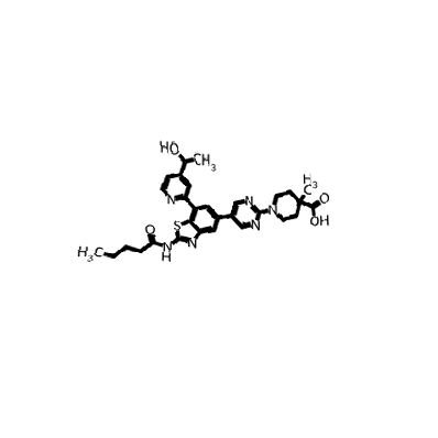 CCCCC(=O)Nc1nc2cc(-c3cnc(N4CCC(C)(C(=O)O)CC4)nc3)cc(-c3cc(C(C)O)ccn3)c2s1